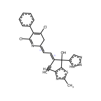 C#C/C(=C\C=C1/CC(Cl)=C(c2ccccc2)C(Cl)=N1)C(O)(c1cnn[nH]1)c1sc(C)nc1C